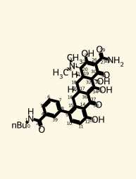 CCCCNC(=O)c1cccc(-c2ccc(O)c3c2C[C@H]2C[C@H]4[C@H](N(C)C)C(O)=C(C(N)=O)C(=O)[C@@]4(O)C(O)=C2C3=O)c1